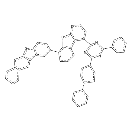 c1ccc(-c2ccc(-c3nc(-c4ccccc4)nc(-c4cccc5oc6c(-c7ccc8sc9cc%10ccccc%10cc9c8c7)cccc6c45)n3)cc2)cc1